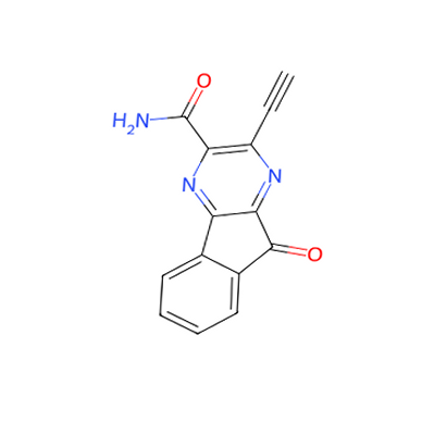 C#Cc1nc2c(nc1C(N)=O)-c1ccccc1C2=O